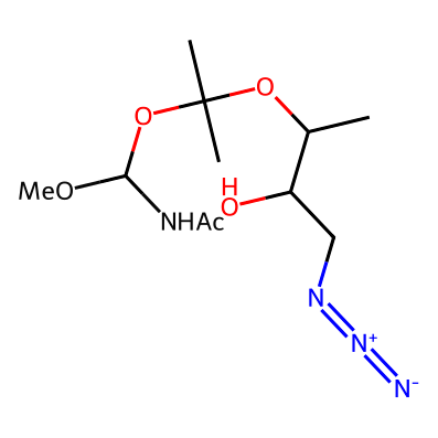 COC(NC(C)=O)OC(C)(C)OC(C)C(O)CN=[N+]=[N-]